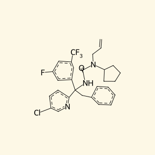 C=CCN(C(=O)NC(Cc1ccccc1)(c1cc(F)cc(C(F)(F)F)c1)c1ccc(Cl)cn1)C1CCCC1